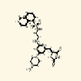 CN1CCN(c2cc(/C=C3\SC(=O)NC3=O)nc(NCCNS(=O)(=O)c3cccc4cnccc34)n2)CC1